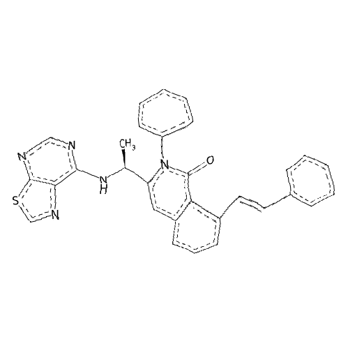 C[C@H](Nc1ncnc2scnc12)c1cc2cccc(/C=C/c3ccccc3)c2c(=O)n1-c1ccccc1